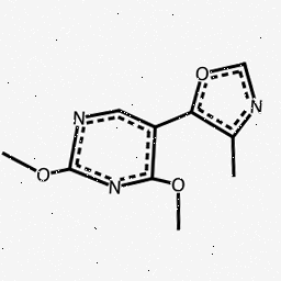 COc1ncc(-c2ocnc2C)c(OC)n1